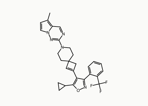 Cc1ccn2nc(N3CCC4(C=C(c5c(-c6ccccc6C(F)(F)F)noc5C5CC5)C4)CC3)ncc12